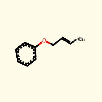 CCCCC=CCOc1c[c]ccc1